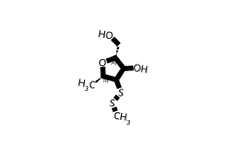 CSSC1C(O)[C@@H](CO)O[C@H]1C